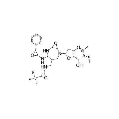 CSS[C@H](C)OC1CC(N2CC(CNC3OC3C(F)(F)F)C(NC3OC3c3ccccc3)NC3OC32)OC1CO